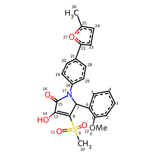 COc1ccccc1C1C(S(C)(=O)=O)=C(O)C(=O)N1c1ccc(-c2ccc(C)o2)cc1